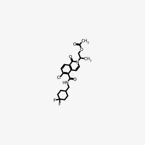 CC(=O)OCC(C)n1ccc2c(C(=O)NCC3CCC(F)(F)CC3)c(Cl)ccc2c1=O